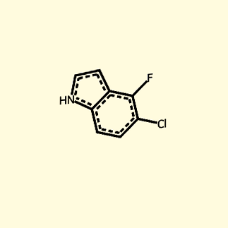 Fc1c(Cl)ccc2[nH]ccc12